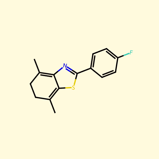 CC1=c2nc(-c3ccc(F)cc3)sc2=C(C)CC1